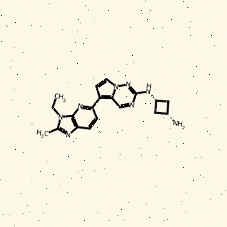 CCn1c(C)nc2ccc(-c3ccn4nc(N[C@H]5C[C@@H](N)C5)ncc34)nc21